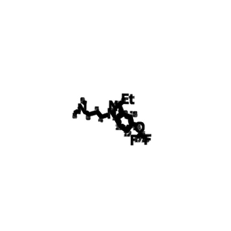 CCc1nn(CCCN(C)C)c2ccc(OC(F)F)cc12